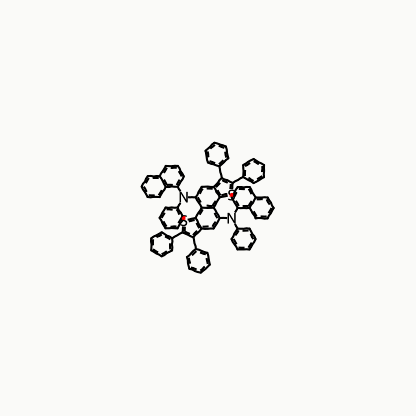 c1ccc(-c2sc3c(cc(N(c4ccccc4)c4cccc5ccccc45)c4c5sc(-c6ccccc6)c(-c6ccccc6)c5cc(N(c5ccccc5)c5cccc6ccccc56)c34)c2-c2ccccc2)cc1